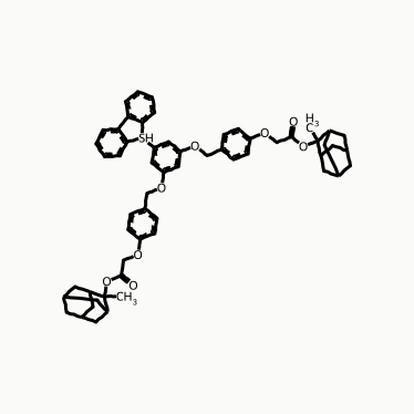 CC1(OC(=O)COc2ccc(COc3cc(OCc4ccc(OCC(=O)OC5(C)C6CC7CC(C6)CC5C7)cc4)cc([SH]4c5ccccc5-c5ccccc54)c3)cc2)C2CC3CC(C2)CC1C3